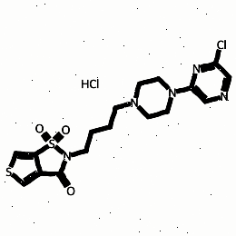 Cl.O=C1c2cscc2S(=O)(=O)N1CCCCN1CCN(c2cncc(Cl)n2)CC1